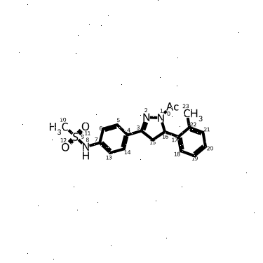 CC(=O)N1N=C(c2ccc(NS(C)(=O)=O)cc2)CC1c1ccccc1C